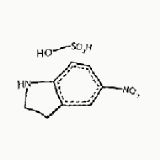 O=S(=O)(O)O.O=[N+]([O-])c1ccc2c(c1)CCN2